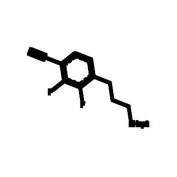 C#Cc1ccc(CCCCCCCCCC)c(F)c1F